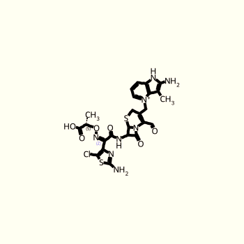 Cc1c(N)[nH]c2ccc[n+](CC3=C(C=O)N4C(=O)C(NC(=O)/C(=N\O[C@@H](C)C(=O)O)c5nc(N)sc5Cl)C4SC3)c12